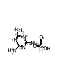 Nc1nc(N)nc(N)n1.O=[SH](=O)O